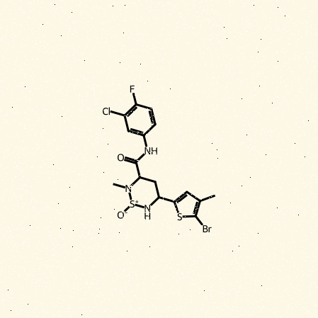 Cc1cc(C2CC(C(=O)Nc3ccc(F)c(Cl)c3)N(C)[S+]([O-])N2)sc1Br